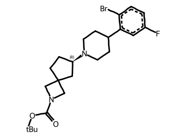 CC(C)(C)OC(=O)N1CC2(CC[C@@H](N3CCC(c4cc(F)ccc4Br)CC3)C2)C1